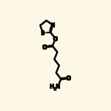 NC(=O)CCCCC(=O)OC1=NCCS1